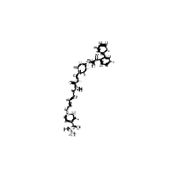 CCNC(=O)C1CCN(CCCCCNC(=O)CCN2CCC(OC(=O)Nc3ccccc3-c3ccccc3)CC2)CC1